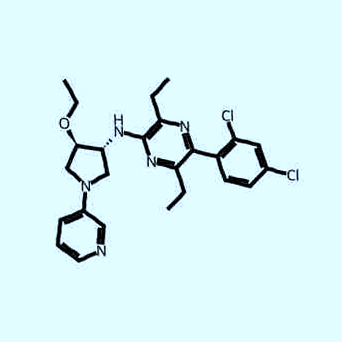 CCO[C@@H]1CN(c2cccnc2)C[C@H]1Nc1nc(CC)c(-c2ccc(Cl)cc2Cl)nc1CC